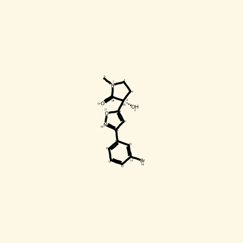 CN1CC[C@@](O)(c2cc(-c3cccc(Br)c3)no2)C1=O